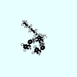 CN1Cc2c(Cl)cc(Cl)cc2[C@H](c2cccc(S(=O)(=O)N3CCC(C(CCNC(=O)NCCCCNC(=O)NCCCC(N)=O)(C(N)=O)C4CCN(S(=O)(=O)c5cccc([C@@H]6CN(C)Cc7c(Cl)cc(Cl)cc76)c5)CC4)CC3)c2)C1